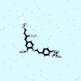 CCCCOc1cc(/C=C(/CCOCC)C(=O)O)ccc1OCCc1ccc(NS(=O)(=O)CCCC)cc1